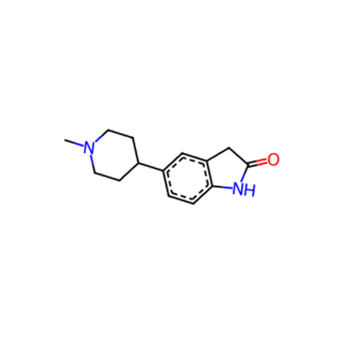 CN1CCC(c2ccc3c(c2)CC(=O)N3)CC1